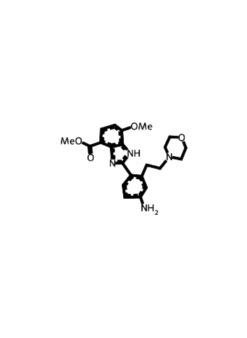 COC(=O)c1ccc(OC)c2[nH]c(-c3ccc(N)cc3CCN3CCOCC3)nc12